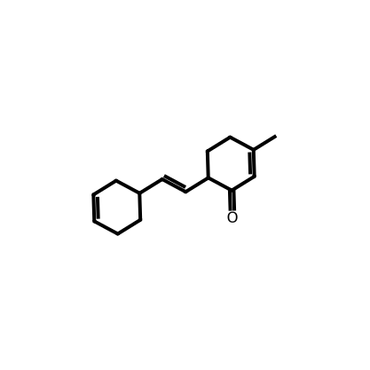 CC1=CC(=O)C(C=CC2CC=CCC2)CC1